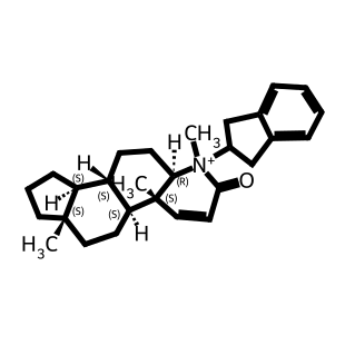 C[C@@]12CCC[C@H]1[C@@H]1CC[C@@H]3[C@](C)(C=CC(=O)[N+]3(C)C3Cc4ccccc4C3)[C@H]1CC2